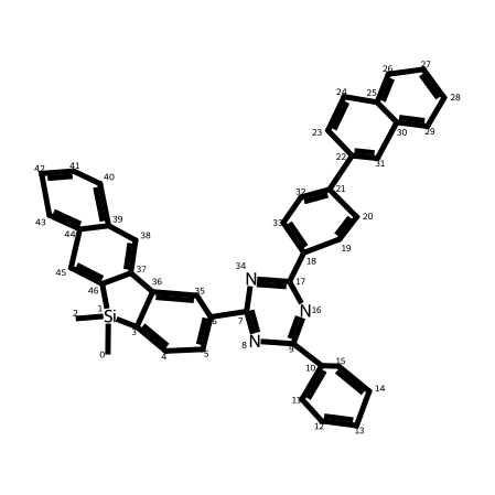 C[Si]1(C)c2ccc(-c3nc(-c4ccccc4)nc(-c4ccc(-c5ccc6ccccc6c5)cc4)n3)cc2-c2cc3ccccc3cc21